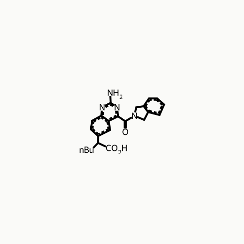 CCCCC(C(=O)O)c1ccc2nc(N)nc(C(=O)N3Cc4ccccc4C3)c2c1